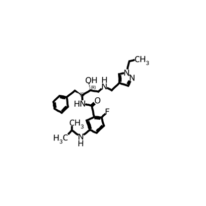 CCn1cc(CNC[C@@H](O)[C@H](Cc2ccccc2)NC(=O)c2cc(NC(C)C)ccc2F)cn1